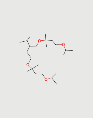 CC(C)OCCC(C)(C)OCCC(COC(C)(C)CCOC(C)C)C(C)C